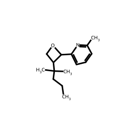 CCCC(C)(C)C1COC1c1cccc(C)n1